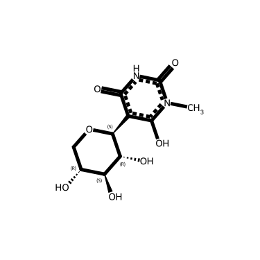 Cn1c(O)c([C@@H]2OC[C@@H](O)[C@H](O)[C@H]2O)c(=O)[nH]c1=O